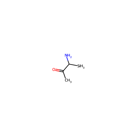 CC(=O)C(N)[SiH3]